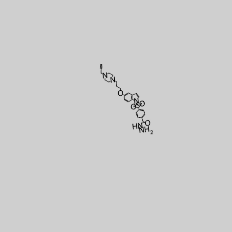 C#CCN1CCN(CCCOc2ccc3c(ccn3S(=O)(=O)c3ccc(C(=O)NN)cc3)c2)CC1